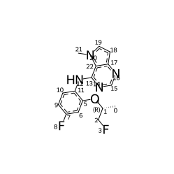 C[C@H](CF)Oc1cc(F)ccc1Nc1ncnc2ccn(C)c12